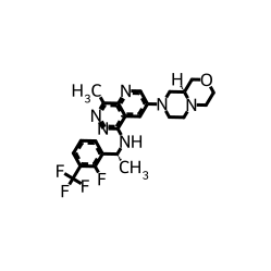 Cc1nnc(N[C@H](C)c2cccc(C(F)(F)F)c2F)c2cc(N3CCN4CCOC[C@@H]4C3)cnc12